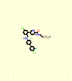 O=C(O)CCNC(=O)c1ccc(-c2cc(Cl)ccc2CNc2ccc(-c3ccc(Cl)c(F)c3)cc2F)cn1